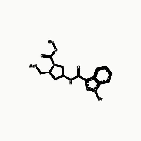 CNC[C@@H]1C[C@H](NC(=O)c2nn(C(C)C)c3ccccc23)CN1C(=O)OC(C)(C)C